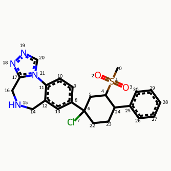 CS(=O)(=O)C1CC(Cl)(c2ccc3c(c2)CNCc2nncn2-3)CCC1c1ccccc1